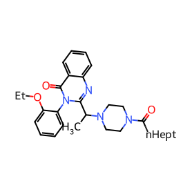 CCCCCCCC(=O)N1CCN(C(C)c2nc3ccccc3c(=O)n2-c2ccccc2OCC)CC1